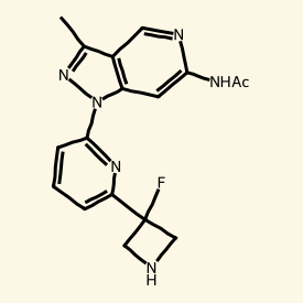 CC(=O)Nc1cc2c(cn1)c(C)nn2-c1cccc(C2(F)CNC2)n1